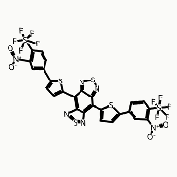 O=[N+]([O-])c1cc(-c2ccc(-c3c4c(c(-c5ccc(-c6ccc(S(F)(F)(F)(F)F)c([N+](=O)[O-])c6)s5)c5nsnc35)N=S=N4)s2)ccc1S(F)(F)(F)(F)F